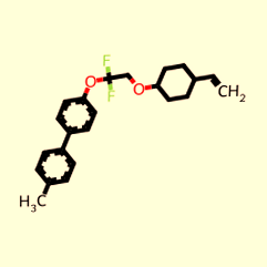 C=CC1CCC(OCC(F)(F)Oc2ccc(-c3ccc(C)cc3)cc2)CC1